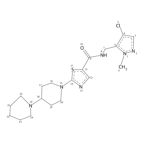 Cn1ncc(Cl)c1CNC(=O)c1cnc(N2CCC(N3CCCCC3)CC2)s1